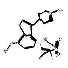 CCCCN1CCC(c2csc3c(OCCC)cccc23)CC1.O=S(=O)(O)C(F)(F)F